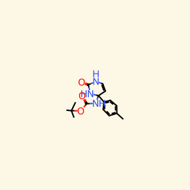 Cc1ccc(C2(NC(=O)OC(C)(C)C)C=CNC(=O)N2)cc1